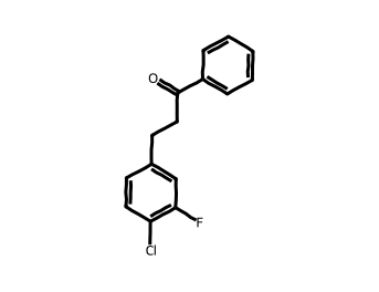 O=C(CCc1ccc(Cl)c(F)c1)c1ccccc1